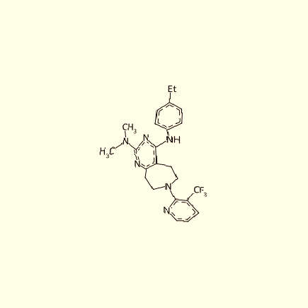 CCc1ccc(Nc2nc(N(C)C)nc3c2CCN(c2ncccc2C(F)(F)F)CC3)cc1